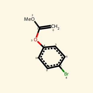 C=C(OC)Oc1ccc(Br)cc1